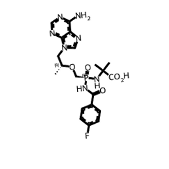 C[C@H](Cn1cnc2c(N)ncnc21)OC[P@](=O)(NC(=O)c1ccc(F)cc1)NC(C)(C)C(=O)O